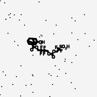 O=C(OCC(F)(F)C(F)(F)COC(=O)C12CC3CC(CC(O)(C3)C1)C2)OCC(F)(F)S(=O)(=O)O